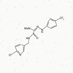 CNC(=NNc1ccc(C(F)(F)F)cc1)C(=O)NCc1ccc(Cl)nc1